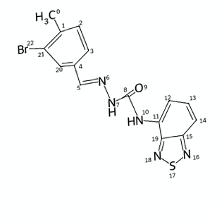 Cc1ccc(/C=N/NC(=O)Nc2cccc3nsnc23)cc1Br